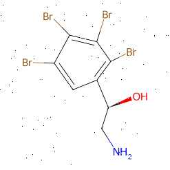 NC[C@H](O)c1cc(Br)c(Br)c(Br)c1Br